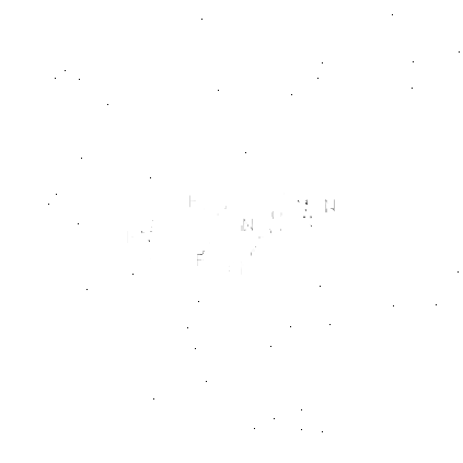 Cl.O=C1O[C@@H](Cn2cncn2)CN1c1cc(F)c(C2=CCNCC2)c(F)c1